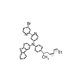 CC/C=C\C=C/CC(C)c1ccc(N(c2ccnc(-c3cc(Br)ccn3)c2)c2ccc3sc4ccccc4c3c2)cc1